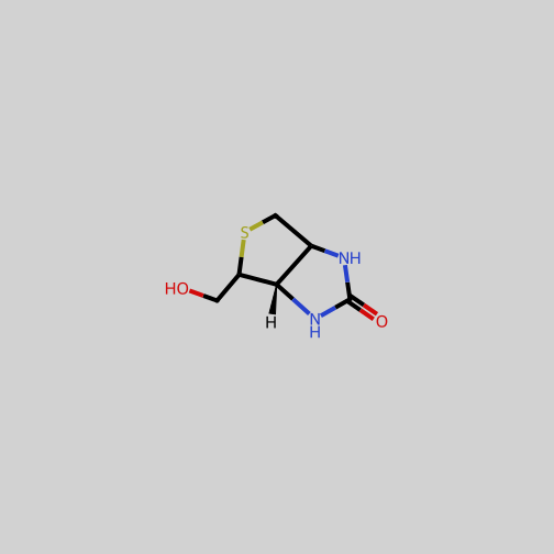 O=C1NC2CSC(CO)[C@H]2N1